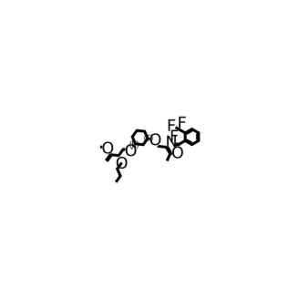 C=C(OC)C(CO[C@@H]1CCC[C@H](OCc2nc(-c3ccccc3C(F)(F)F)oc2C)C1)OCCC